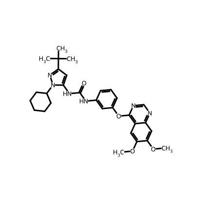 COc1cc2ncnc(Oc3cccc(NC(=O)Nc4cc(C(C)(C)C)nn4C4CCCCC4)c3)c2cc1OC